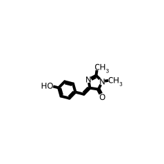 CC1=N/C(=C\c2ccc(O)cc2)C(=O)N1C